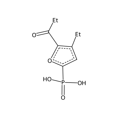 CCC(=O)c1oc(P(=O)(O)O)cc1CC